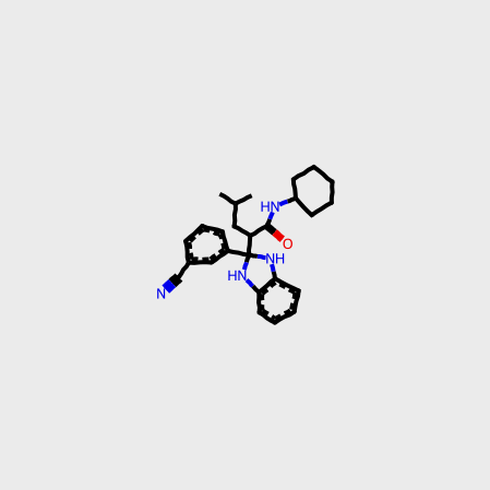 CC(C)CC(C(=O)NC1CCCCC1)C1(c2cccc(C#N)c2)Nc2ccccc2N1